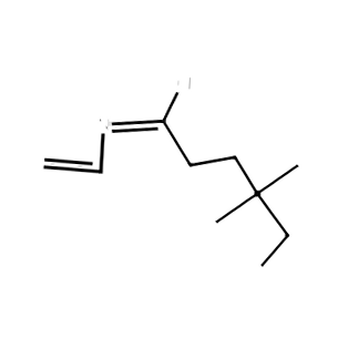 C=C/N=C(/Cl)CCC(C)(C)CC